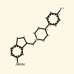 CC(=O)Nc1ccc2c(c1)C(CN1CCC(c3ccc(F)cc3)CC1)CC2